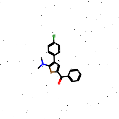 CN(C)c1sc(C(=O)c2ccccc2)cc1-c1ccc(Cl)cc1